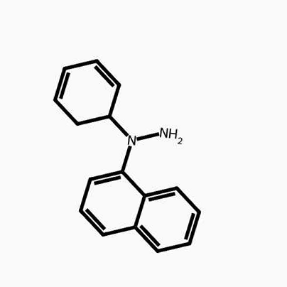 NN(c1cccc2ccccc12)C1C=CC=CC1